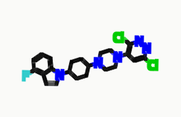 Fc1cccc2c1ccn2C1CCC(N2CCN(c3cc(Cl)nnc3Cl)CC2)CC1